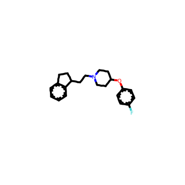 Fc1ccc(OC2CCN(CCC3CCc4ccccc43)CC2)cc1